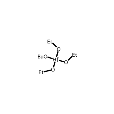 CC[O][Hf]([O]CC)([O]CC)[O]CC(C)C